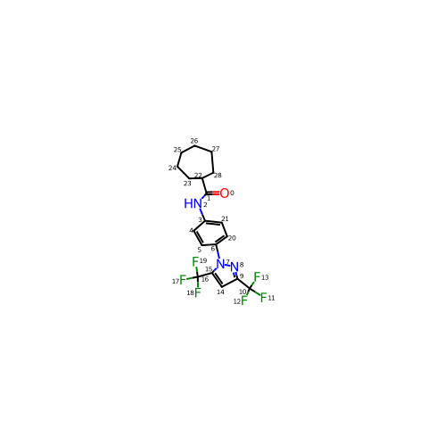 O=C(Nc1ccc(-n2nc(C(F)(F)F)cc2C(F)(F)F)cc1)C1CCCCCC1